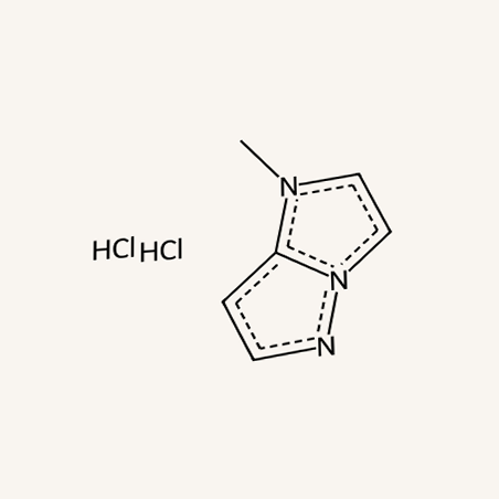 Cl.Cl.Cn1ccn2nccc12